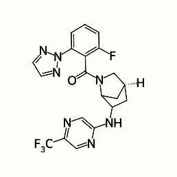 O=C(c1c(F)cccc1-n1nccn1)N1C[C@H]2CC(Nc3cnc(C(F)(F)F)cn3)C1C2